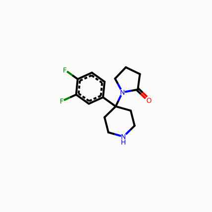 O=C1CCCN1C1(c2ccc(F)c(F)c2)CCNCC1